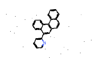 c1ccc(-c2cc3ccc4ccccc4c3c3ccccc23)nc1